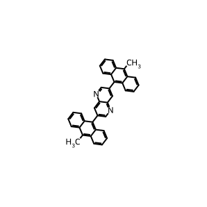 Cc1c2ccccc2c(-c2cnc3cc(-c4c5ccccc5c(C)c5ccccc45)cnc3c2)c2ccccc12